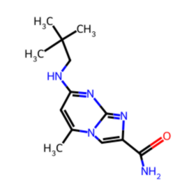 Cc1cc(NCC(C)(C)C)nc2nc(C(N)=O)cn12